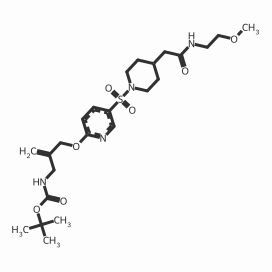 C=C(CNC(=O)OC(C)(C)C)COc1ccc(S(=O)(=O)N2CCC(CC(=O)NCCOC)CC2)cn1